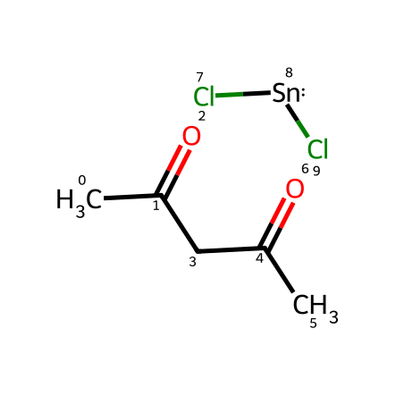 CC(=O)CC(C)=O.[Cl][Sn][Cl]